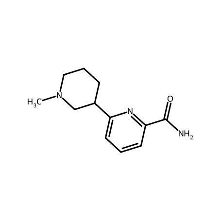 CN1CCCC(c2cccc(C(N)=O)n2)C1